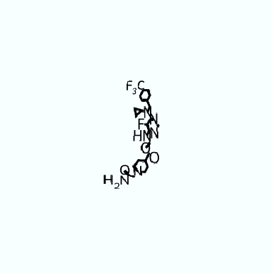 NC(=O)CN1CCC(C(=O)OCNc2ncnc(N(Cc3ccc(C(F)(F)F)cc3)C3CC3)c2F)CC1